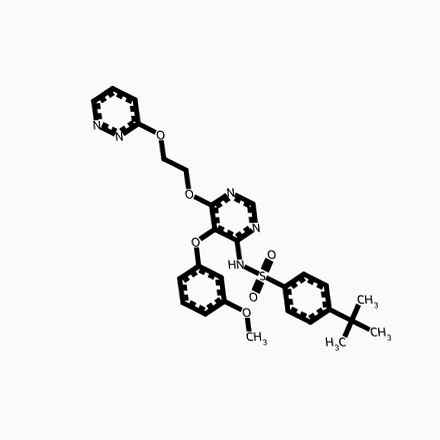 COc1cccc(Oc2c(NS(=O)(=O)c3ccc(C(C)(C)C)cc3)ncnc2OCCOc2cccnn2)c1